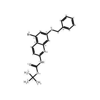 CC(C)(C)OC(=O)Nc1ccc2c(Br)cc(SCc3ccccc3)cc2n1